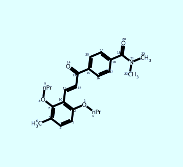 CCCOc1ccc(C)c(OCCC)c1C=CC(=O)c1ccc(C(=O)N(C)C)cc1